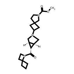 COC(=O)N1CCC2(CC(N3C[C@@H]4[C@H](C3)[C@H]4C(=O)N3CCC34CCC4)C2)C1